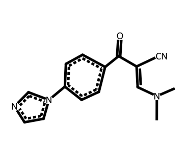 CN(C)C=C(C#N)C(=O)c1ccc(-n2ccnc2)cc1